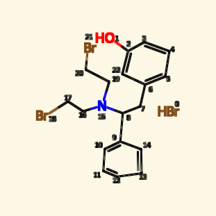 Br.Oc1cccc(CC(c2ccccc2)N(CCBr)CCBr)c1